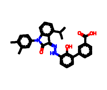 Cc1ccc(N2C(=O)C(=NNc3cccc(-c4cccc(C(=O)O)c4)c3O)c3c(C(C)C)cccc32)cc1C